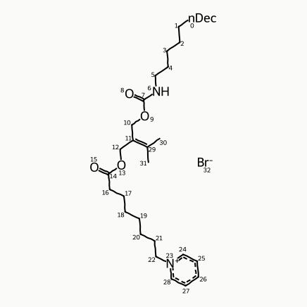 CCCCCCCCCCCCCCCNC(=O)OCC(COC(=O)CCCCCCC[n+]1ccccc1)=C(C)C.[Br-]